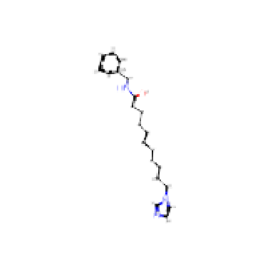 O=C(CCCCCCCCCCn1ccnc1)NCc1ccccc1